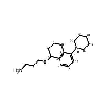 NCCCOC1CCCc2c1cccc2N1CCCCC1